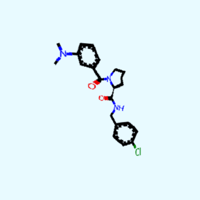 CN(C)c1cccc(C(=O)N2CCC[C@H]2C(=O)NCc2ccc(Cl)cc2)c1